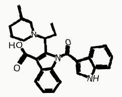 CCC(c1c(C(=O)O)c2ccccc2n1C(=O)c1c[nH]c2ccccc12)N1CCCC(C)C1